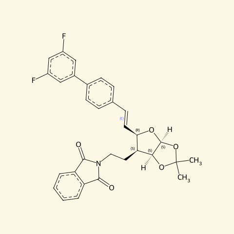 CC1(C)O[C@@H]2O[C@H](/C=C/c3ccc(-c4cc(F)cc(F)c4)cc3)[C@H](CCN3C(=O)c4ccccc4C3=O)[C@@H]2O1